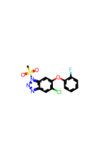 CS(=O)(=O)n1nnc2cc(Cl)c(Oc3ccccc3F)cc21